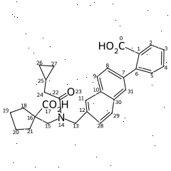 O=C(O)c1ccccc1-c1ccc2cc(CN(CC3(C(=O)O)CCCC3)C(=O)CC3CC3)ccc2c1